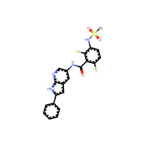 CCS(=O)(=O)Nc1ccc(F)c(C(=O)Nc2cnc3[nH]c(-c4ccccc4)cc3c2)c1F